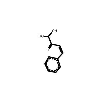 O=C(/C=C\c1ccccc1)C(O)O